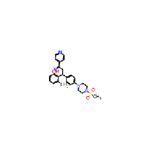 Cc1ccccc1C(C/C(=N\O)c1ccncc1)c1ccc(N2CCN(S(C)(=O)=O)CC2)cc1